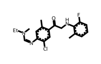 CCN(C)/C=N\c1cc(C)c(C(=O)CNc2c(C)cccc2F)cc1Cl